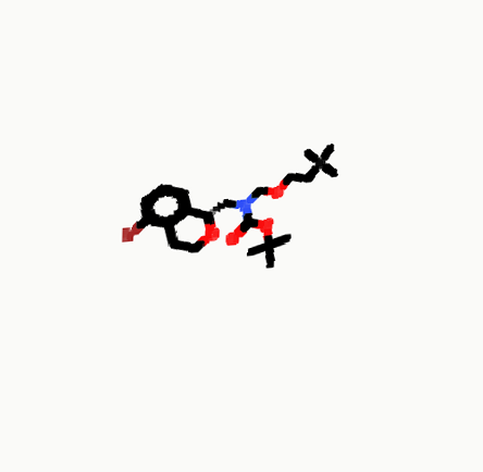 CC(C)(C)OC(=O)N(COCC[Si](C)(C)C)C[C@@H]1OCCc2c(Br)cccc21